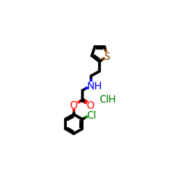 Cl.O=C(CNCCc1cccs1)Oc1ccccc1Cl